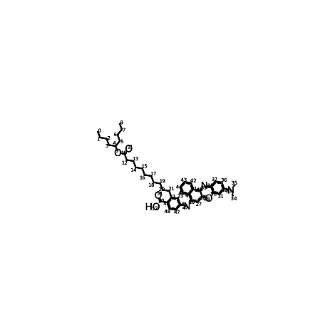 CCCCC(CCCC)OC(=O)CCCCCCCCCCc1cc(/N=c2/cc3oc4cc(N(C)C)ccc4nc-3c3ccccc23)ccc1C(=O)O